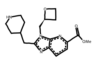 COC(=O)c1ccc2nc(CC3CCNCC3)n(C[C@@H]3CCO3)c2n1